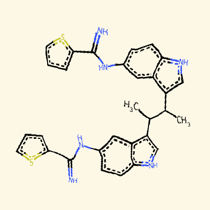 CC(c1c[nH]c2ccc(NC(=N)c3cccs3)cc12)C(C)c1c[nH]c2ccc(NC(=N)c3cccs3)cc12